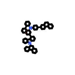 c1ccc(-c2ccccc2N(c2ccc(-c3ccc4c(ccc5ccccc54)c3)cc2)c2cccc(-c3cccc4c3c3ccccc3n4-c3cc4ccccc4c4ccccc34)c2)cc1